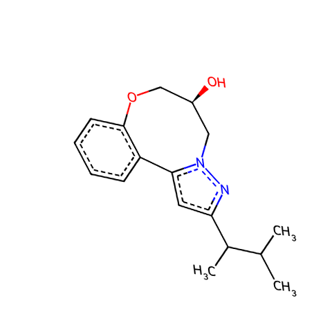 CC(C)C(C)c1cc2n(n1)C[C@H](O)COc1ccccc1-2